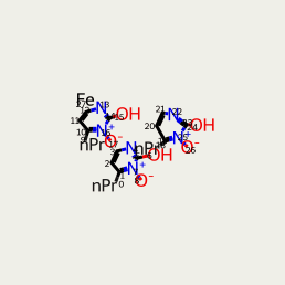 CCCc1ccnc(O)[n+]1[O-].CCCc1ccnc(O)[n+]1[O-].CCCc1ccnc(O)[n+]1[O-].[Fe]